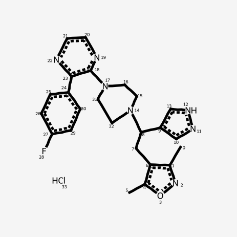 Cc1noc(C)c1CC(c1cn[nH]c1)N1CCN(c2nccnc2-c2ccc(F)cc2)CC1.Cl